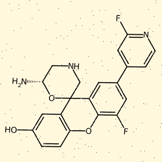 N[C@@H]1CNCC2(O1)c1cc(O)ccc1Oc1c(F)cc(-c3ccnc(F)c3)cc12